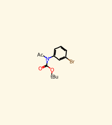 CC(=O)N(C(=O)OC(C)(C)C)c1cccc(Br)c1